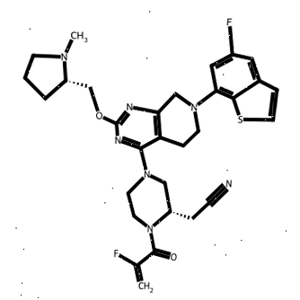 C=C(F)C(=O)N1CCN(c2nc(OC[C@@H]3CCCN3C)nc3c2CCN(c2cc(F)cc4ccsc24)C3)C[C@@H]1CC#N